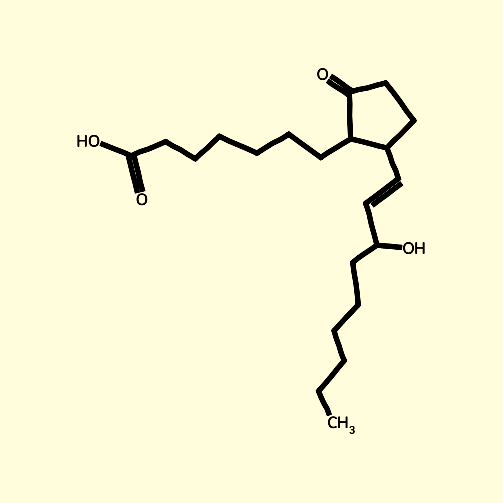 CCCCCCC(O)C=CC1CCC(=O)C1CCCCCCC(=O)O